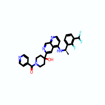 C[C@@H](Nc1ccnc2cnc(C3(O)CCN(C(=O)c4ccncc4)CC3)cc12)c1cccc(C(F)F)c1F